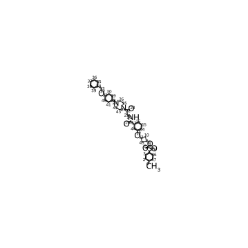 Cc1ccc(S(=O)(=O)OC2CC(Oc3cccc(C(=O)NCC(=O)N4CCN(c5ccc(OCc6ccccc6)cc5)CC4)c3)C2)cc1